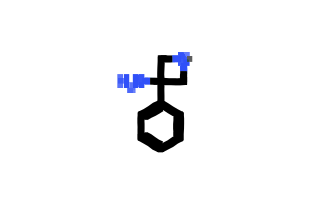 NC1(c2ccccc2)C[N]C1